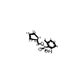 Cc1ccccc1P(=O)(O)OCC1CCCC1